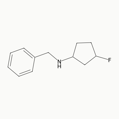 FC1CCC(NCc2ccccc2)C1